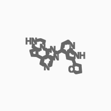 c1cc(-c2nc(N3CCNCC3)c3c(C4CCC4)cncc3n2)c2cc(C3CCCO3)[nH]c2n1